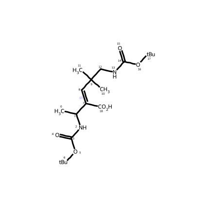 CC(NC(=O)OC(C)(C)C)/C(=C/C(C)(C)CNC(=O)OC(C)(C)C)C(=O)O